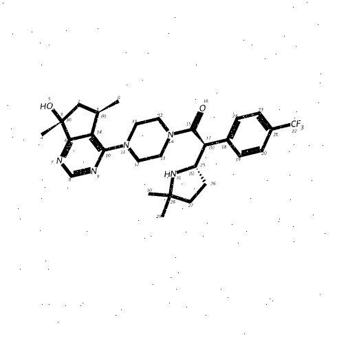 C[C@@H]1C[C@@](C)(O)c2ncnc(N3CCN(C(=O)[C@@H](c4ccc(C(F)(F)F)cc4)[C@@H]4CCC(C)(C)N4)CC3)c21